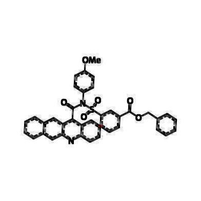 COc1ccc(N(C(=O)c2c3ccccc3nc3cc4ccccc4cc23)S(=O)(=O)c2cccc(C(=O)OCc3ccccc3)c2)cc1